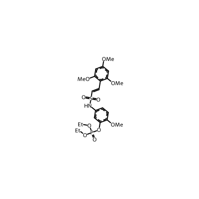 CCOP(=O)(OCC)Oc1cc(NS(=O)(=O)C=Cc2c(OC)cc(OC)cc2OC)ccc1OC